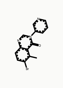 Cc1c(Br)ccc2ncn(-c3cccnc3)c(=O)c12